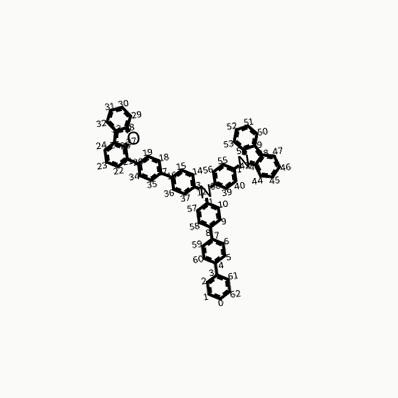 c1ccc(-c2ccc(-c3ccc(N(c4ccc(-c5ccc(-c6cccc7c6oc6ccccc67)cc5)cc4)c4ccc(-n5c6ccccc6c6ccccc65)cc4)cc3)cc2)cc1